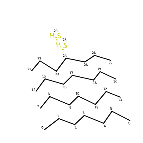 CCCCCCC.CCCCCCC.CCCCCCC.CCCCCCC.S.S